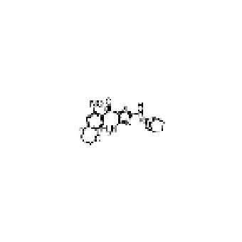 Nc1nc(N[C@H]2CC3CCC2C3)sc1C(=O)c1cc2c(cc1[N+](=O)[O-])OCCO2